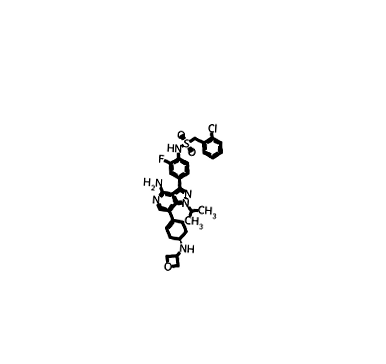 CC(C)n1nc(-c2ccc(NS(=O)(=O)Cc3ccccc3Cl)c(F)c2)c2c(N)ncc(C3=CC[C@@H](NC4COC4)CC3)c21